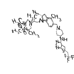 Cc1c(CN2CCC(Nc3ncnc4sc(CC(F)(F)F)cc34)CC2)ccc2c1cc(C#N)n2CC(C)N1C[C@@H](C)N(S(C)(=O)=O)[C@@H](C)C1